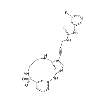 O=C(NCC#Cc1cnc2nc1NCCCNS(=O)(=O)c1cccc(c1)N2)Nc1cccc(F)c1